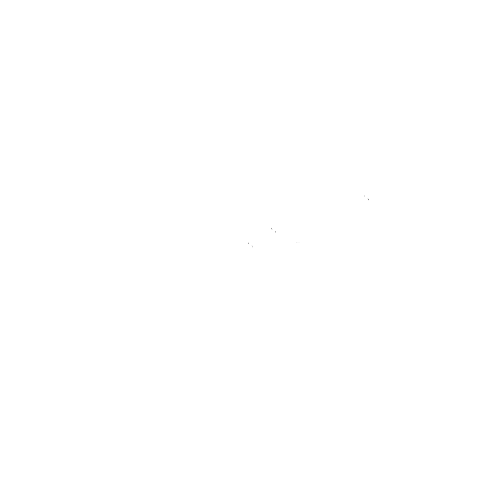 O=C(NN=CC=Cc1ccccc1)c1ccncc1